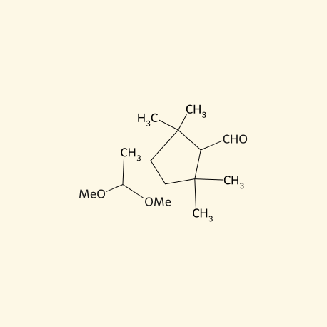 CC1(C)CCC(C)(C)C1C=O.COC(C)OC